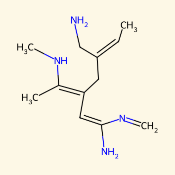 C=N/C(N)=C\C(C/C(=C/C)CN)=C(/C)NC